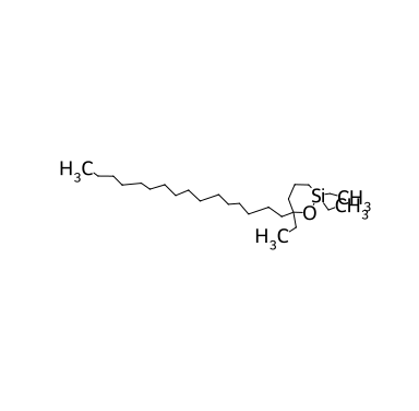 CCCCCCCCCCCCCCCCC1(CC)CCC[Si](CC)(CC)O1